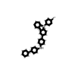 Fc1ccc(-n2c3ccccc3c3cc(-c4ccc(Nc5ccc(-c6ccccc6)cc5)cc4)ccc32)cc1